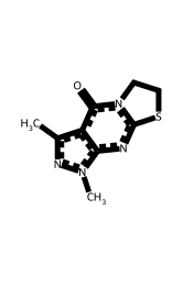 Cc1nn(C)c2nc3n(c(=O)c12)CCS3